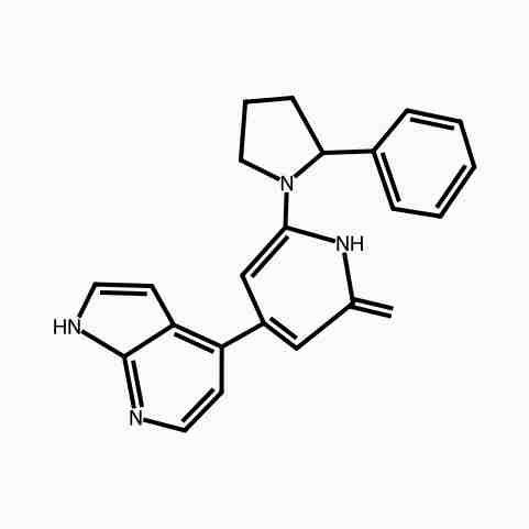 C=C1C=C(c2ccnc3[nH]ccc23)C=C(N2CCCC2c2ccccc2)N1